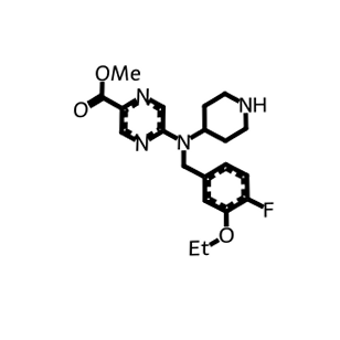 CCOc1cc(CN(c2cnc(C(=O)OC)cn2)C2CCNCC2)ccc1F